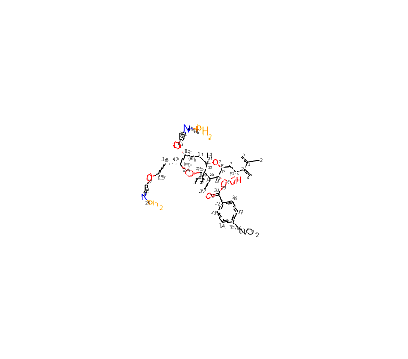 C=C(C)C(=C)[C@H](O)C[C@@H]1O[C@H]2C[C@@H](OB=NP)[C@@H](CCOB=NP)O[C@H]2[C@H](C)[C@H]1OC(=O)c1ccc([N+](=O)[O-])cc1